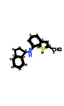 O=Cc1cc2cccc(N[C@@H]3CCc4ccccc43)c2s1